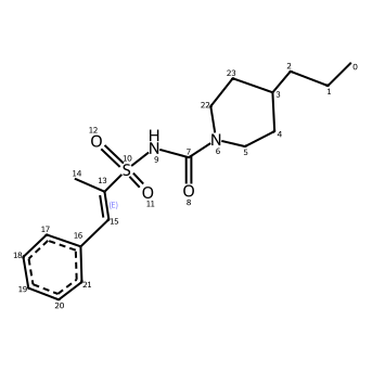 CCCC1CCN(C(=O)NS(=O)(=O)/C(C)=C/c2ccccc2)CC1